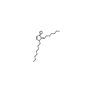 CCCCCCC=C1C(=O)C=CC1CCCCCCCC